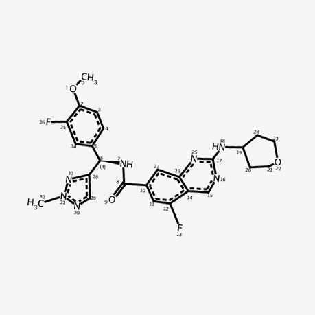 COc1ccc([C@@H](NC(=O)c2cc(F)c3cnc(NC4CCOCC4)nc3c2)c2cnn(C)n2)cc1F